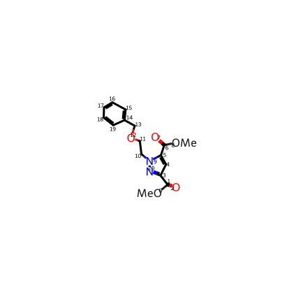 COC(=O)c1cc(C(=O)OC)n(CCOCc2ccccc2)n1